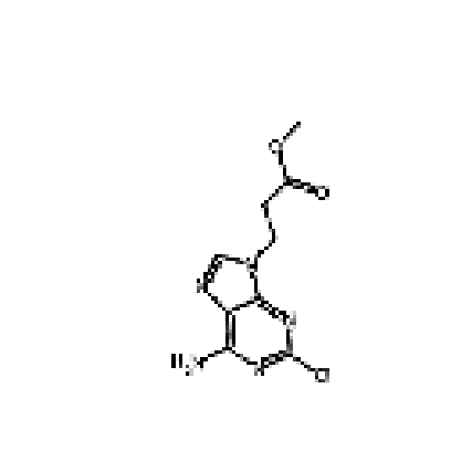 COC(=O)CCn1cnc2c(N)nc(Cl)nc21